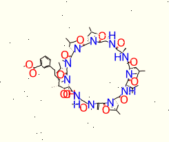 C=C1C(=O)N(C)[C@@H](CC(C)C)C(=O)N[C@H](C(C)C)C(=O)N(C)[C@H](CC(C)C)C(=O)N[C@H](C)C(=O)N[C@@H](C)C(=O)N(C)[C@@H](CC(C)C)C(=O)N(C)[C@@H](CC(C)C)C(=O)N(C)[C@@H](C(C)C)C(=O)N(C)[C@@H]([C@H](O)[C@H](C)CCCc2cccc(C(=O)OC)c2)C(=O)N[C@@H](CC)C(=O)N1C